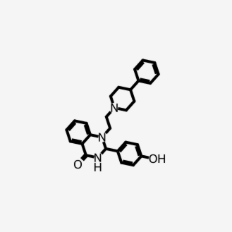 O=C1NC(c2ccc(O)cc2)N(CCN2CCC(c3ccccc3)CC2)c2ccccc21